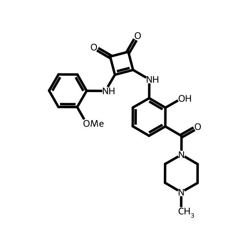 COc1ccccc1Nc1c(Nc2cccc(C(=O)N3CCN(C)CC3)c2O)c(=O)c1=O